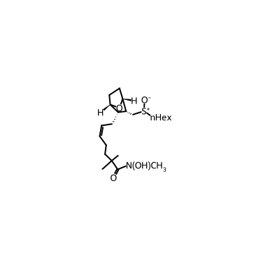 CCCCCC[S+]([O-])C[C@@H]1[C@H](C/C=C\CCC(C)(C)C(=O)N(C)O)[C@@H]2CC[C@H]1O2